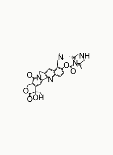 CCC1(O)C(=O)OCc2c1cc1n(c2=O)Cc2cc3c(CN(C)C)c(OC(=O)N4[C@H](C)CNC[C@H]4C)ccc3nc2-1